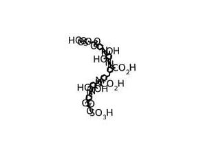 O=C(O)c1cc(Cc2ccc(/N=N/c3ccc(O)c(/N=N/c4ccc(S(=O)(=O)CCOS(=O)(=O)O)cc4)c3O)c(C(=O)O)c2)ccc1/N=N/c1ccc(O)c(/N=N/c2ccc(S(=O)(=O)CCOSOOO)cc2)c1O